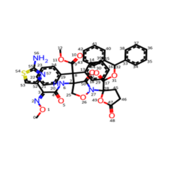 CO/N=C(\C(=O)NC1(C(C(=O)OC)(c2ccccc2)c2ccccc2)CON(C2(C(=O)OC(c3ccccc3)c3ccccc3)CCC(=O)O2)C1=O)c1csc(N)n1